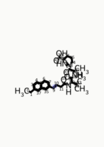 CCc1ccc2ccc(/C=C/CC(=O)N[C@H](C(=O)N[C@@H](C)C(=O)N3CCC[C@@H](C(=O)O)N3)C(C)C)cc2c1